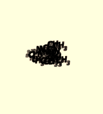 COC[C@H]1COc2ccccc2-c2nnc(N(CC[Si](C)(C)C)S(=O)(=O)[C@@H](C)[C@H](C)c3ncc(OC)cn3)n21